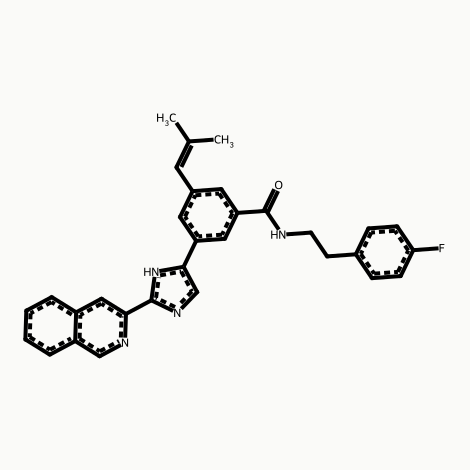 CC(C)=Cc1cc(C(=O)NCCc2ccc(F)cc2)cc(-c2cnc(-c3cc4ccccc4cn3)[nH]2)c1